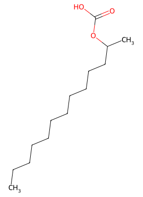 CCCCCCCCCCCC(C)OC(=O)O